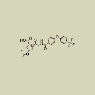 O=C(NCC(=O)N1C[C@H](OC(F)F)C[C@H]1C(=O)O)c1ccc(Oc2ccc(C(F)(F)F)cc2)cc1